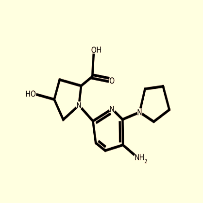 Nc1ccc(N2CC(O)CC2C(=O)O)nc1N1CCCC1